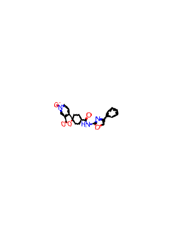 O=C1OC2(CCC(C(=O)Nc3nc(-c4ccccc4)co3)CC2)c2cc[n+]([O-])cc21